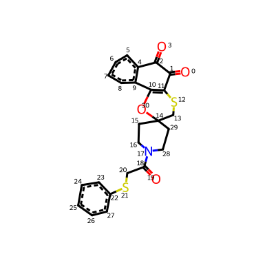 O=C1C(=O)c2ccccc2C2=C1SCC1(CCN(C(=O)CSc3ccccc3)CC1)O2